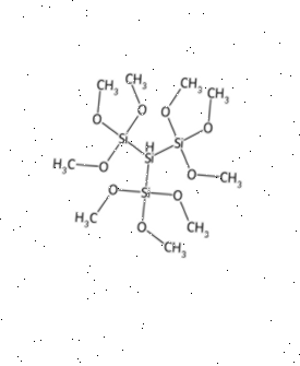 CO[Si](OC)(OC)[SiH]([Si](OC)(OC)OC)[Si](OC)(OC)OC